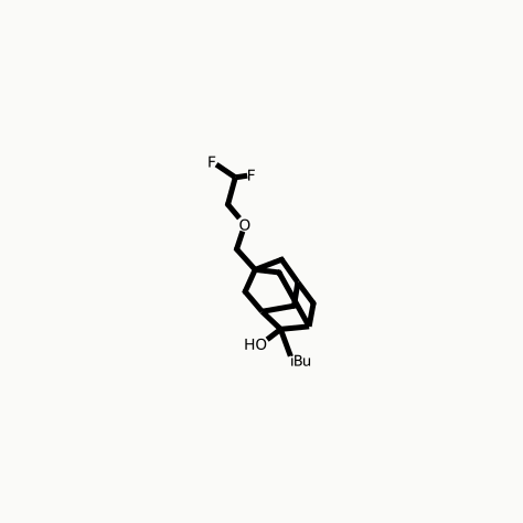 CCC(C)C1(O)C2CC3CC1CC(COCC(F)F)(C3)C2